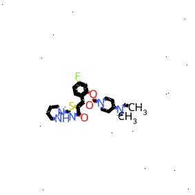 CCN(C)C1CCN(C(=O)Oc2cc(F)ccc2/C=C2\SC(N3CCCCN3)=NC2=O)CC1